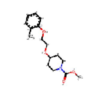 CC(C)(C)OC(=O)N1CCC(OCCOc2ccccc2[N+](=O)[O-])CC1